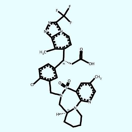 Cc1cnc2c(c1)S(=O)(=O)N(Cc1cc([C@@H](CC(=O)O)c3ccn4c(C(F)(F)F)nnc4c3C)ccc1Cl)C[C@@H]1CCCCN21